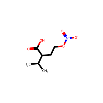 CC(C)C(CCO[N+](=O)[O-])C(=O)O